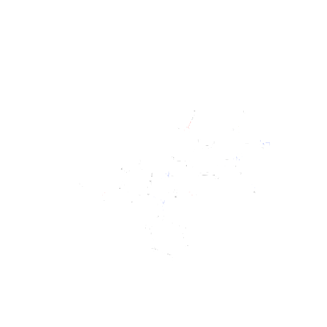 CCOc1ccc2c(c1)n(C1CCCCC1)c(=O)n2Cc1ccc([N+](C#N)=C(N)SC)cc1OC